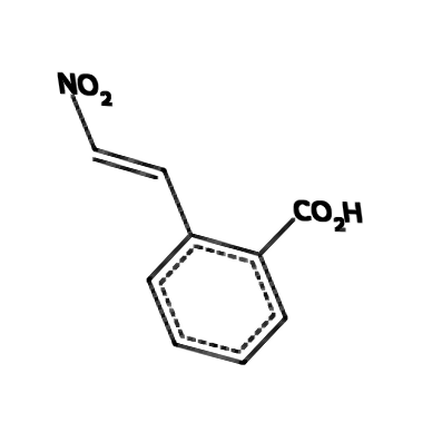 O=C(O)c1ccccc1C=C[N+](=O)[O-]